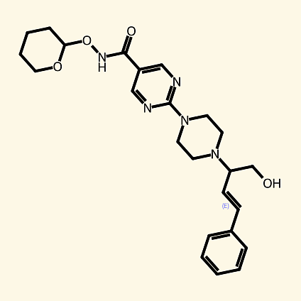 O=C(NOC1CCCCO1)c1cnc(N2CCN(C(/C=C/c3ccccc3)CO)CC2)nc1